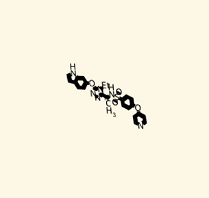 CCn1c(Oc2ccc3cc[nH]c3c2)nnc1[C@@H](C)NS(=O)(=O)c1ccc(Oc2ccncc2)cc1